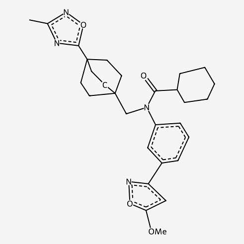 COc1cc(-c2cccc(N(CC34CCC(c5nc(C)no5)(CC3)CC4)C(=O)C3CCCCC3)c2)no1